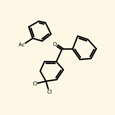 CC(=O)c1ccccc1.O=C(C1=CCC(Cl)(Cl)C=C1)c1ccccc1